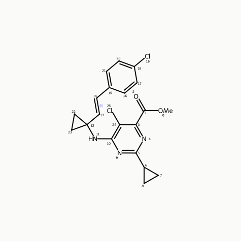 COC(=O)c1nc(C2CC2)nc(NC2(/C=C/c3ccc(Cl)cc3)CC2)c1Cl